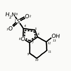 NS(=O)(=O)c1cc2c(o1)CCCC2O